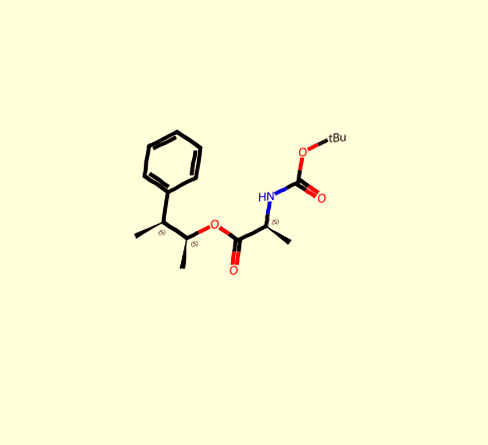 C[C@H](NC(=O)OC(C)(C)C)C(=O)O[C@@H](C)[C@@H](C)c1ccccc1